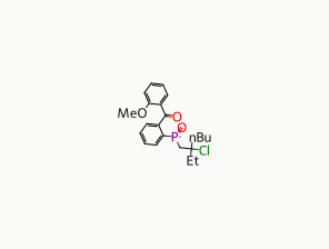 CCCCC(Cl)(CC)C[P](=O)c1ccccc1C(=O)c1ccccc1OC